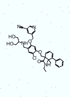 CCNC(=O)C1(COc2cc(OCc3cncc(C#N)c3)c(CNC(CO)CO)cc2Cl)C=CC=C(c2ccccc2)C1(C)C